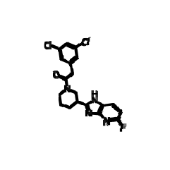 O=C(Cc1cc(Cl)cc(Cl)c1)N1CCCC(c2nc3nc(F)ccc3[nH]2)C1